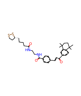 CC1(C)CCC(C)(C)c2cc(C(=O)/C=C/c3ccc(C(=O)NCCNC(=O)CCCC[C@@H]4CCSS4)cc3)ccc21